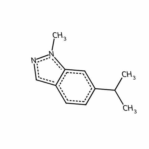 CC(C)c1ccc2cnn(C)c2c1